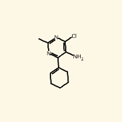 Cc1nc(Cl)c(N)c(C2=CCCCC2)n1